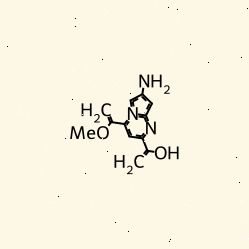 C=C(O)c1cc(C(=C)OC)n2cc(N)cc2n1